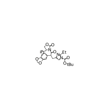 CCc1nc(CC(C(=O)N2C(=O)OC[C@@H]2C(C)C)c2ccc3c(c2)OCO3)cn1C(=O)OC(C)(C)C